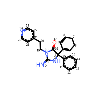 N=C1NC(C2=CCCC=C2)(c2ccccc2)C(=O)N1CCc1ccncc1